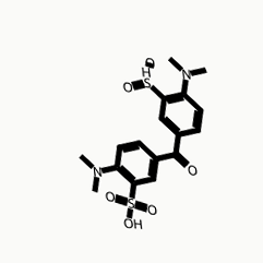 CN(C)c1ccc(C(=O)c2ccc(N(C)C)c(S(=O)(=O)O)c2)cc1[SH](=O)=O